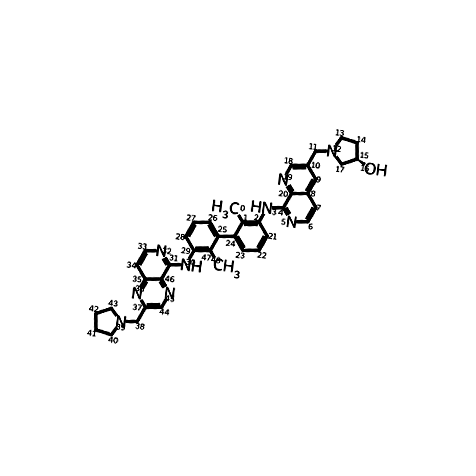 Cc1c(Nc2nccc3cc(CN4CC[C@@H](O)C4)cnc23)cccc1-c1cccc(Nc2nccc3nc(CN4CCCC4)cnc23)c1C